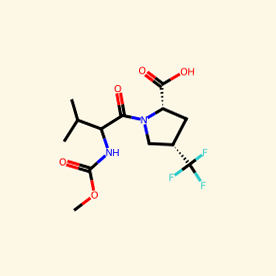 COC(=O)NC(C(=O)N1C[C@@H](C(F)(F)F)C[C@H]1C(=O)O)C(C)C